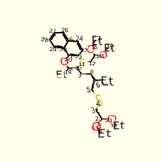 CCOC(CSCC(CC)CCC(SCC(OCC)OCC)C(CC)Oc1cccc2ccccc12)OCC